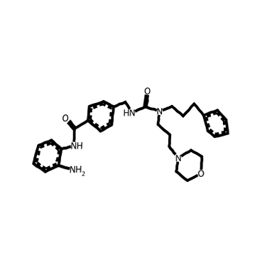 Nc1ccccc1NC(=O)c1ccc(CNC(=O)N(CCCc2ccccc2)CCCN2CCOCC2)cc1